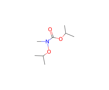 CC(C)OC(=O)N(C)OC(C)C